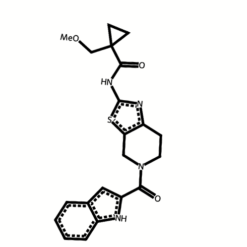 COCC1(C(=O)Nc2nc3c(s2)CN(C(=O)c2cc4ccccc4[nH]2)CC3)CC1